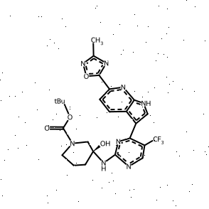 Cc1noc(-c2ccc3c(-c4nc(N[C@]5(O)CCCN(C(=O)OC(C)(C)C)C5)ncc4C(F)(F)F)c[nH]c3n2)n1